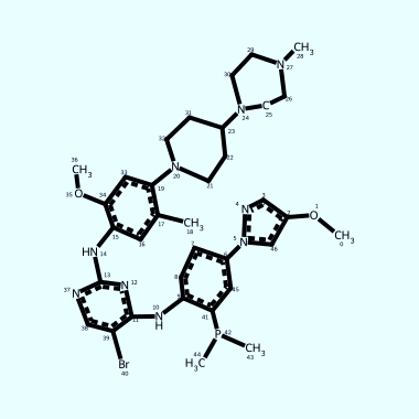 COc1cnn(-c2ccc(Nc3nc(Nc4cc(C)c(N5CCC(N6CCN(C)CC6)CC5)cc4OC)ncc3Br)c(P(C)C)c2)c1